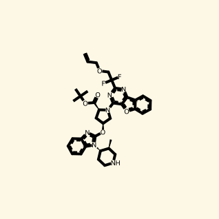 C=CCOCC(F)(F)c1nc(N2C[C@@H](Oc3nc4ccccc4n3[C@H]3CCNC[C@@H]3C)C[C@H]2C(=O)OC(C)(C)C)c2oc3ccccc3c2n1